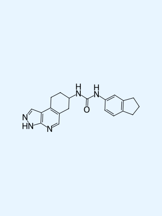 O=C(Nc1ccc2c(c1)CCC2)NC1CCc2c(cnc3[nH]ncc23)C1